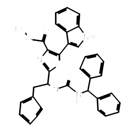 COC(=O)c1nc(C(Cc2ccccc2)NC(=S)NC(c2ccccc2)c2ccccc2)oc1-c1c[nH]c2ccccc12